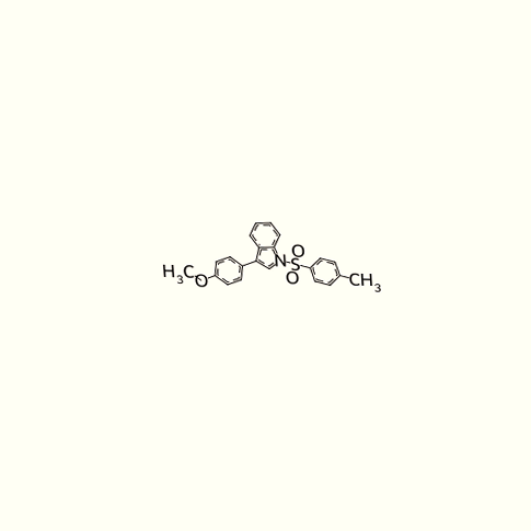 COc1ccc(-c2cn(S(=O)(=O)c3ccc(C)cc3)c3ccccc23)cc1